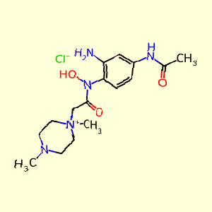 CC(=O)Nc1ccc(N(O)C(=O)C[N+]2(C)CCN(C)CC2)c(N)c1.[Cl-]